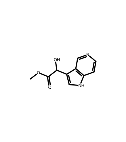 COC(=O)C(O)c1c[nH]c2ccncc12